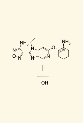 CCn1c(-c2nonc2N)nc2c(C#CC(C)(C)O)nc(O[C@H]3CCCC[C@@H]3N)cc21